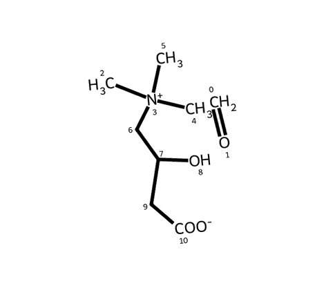 C=O.C[N+](C)(C)CC(O)CC(=O)[O-]